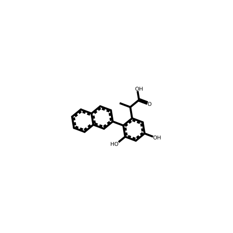 CC(C(=O)O)c1cc(O)cc(O)c1-c1ccc2ccccc2c1